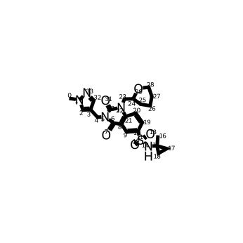 Cn1cc(Cn2c(=O)c3cc(S(=O)(=O)NC4(C)CC4)ccc3n(CC3CCCCO3)c2=O)cn1